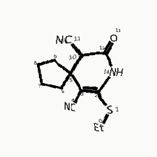 CCSC1=C(C#N)C2(CCCC2)C(C#N)C(=O)N1